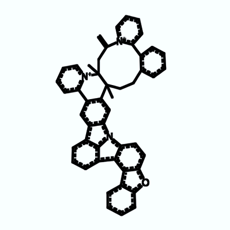 C=C1CC2(C)[n+]3ccccc3-c3cc4c5cccc6c7c8c(ccc7n(c4cc3C2(C)CCc2ccccc2-c2cccc[n+]21)c56)oc1ccccc18